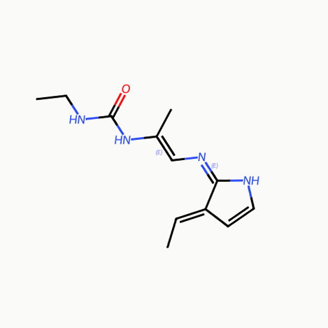 CC=C1C=CN/C1=N/C=C(\C)NC(=O)NCC